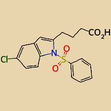 O=C(O)CCCc1cc2cc(Cl)ccc2n1S(=O)(=O)c1ccccc1